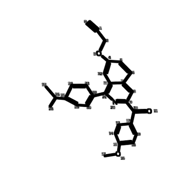 C#CCOc1ccc2cc(C(=O)c3ccc(OC)cc3)nc(-c3ccc(C(C)C)cc3)c2c1